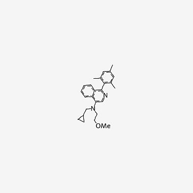 COCCN(CC1CC1)c1cnc(-c2c(C)cc(C)cc2C)c2ccccc12